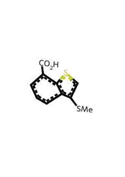 CSc1csc2c(C(=O)O)cccc12